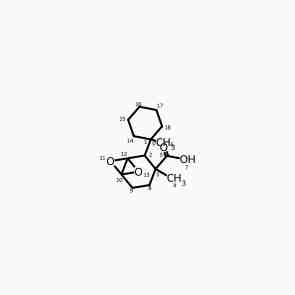 CC1(C2C(C)(C(=O)O)CCC34OC23O4)CCCCC1